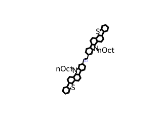 CCCCCCCCn1c2cc(/C=C/c3ccc4c5ccc6c(ccc7c8ccccc8sc76)c5n(CCCCCCCC)c4c3)ccc2c2ccc3c(ccc4c5ccccc5sc43)c21